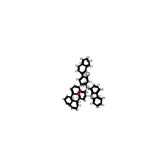 c1ccc(-c2cccc3cccc(-c4ccc(N(c5ccc6c(c5)oc5c7ccccc7ccc65)c5cccc6c5sc5ccccc56)cc4)c23)cc1